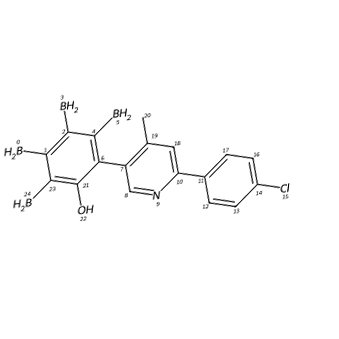 Bc1c(B)c(B)c(-c2cnc(-c3ccc(Cl)cc3)cc2C)c(O)c1B